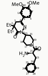 CCC1(CC)CC(c2ccc(OC)c(OC)c2)=NN(C2CCN(C(=O)[C@H](N)Cc3ccccc3)CC2)C1=O